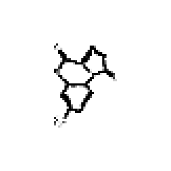 O=C1Nc2cc(C(F)(F)F)ccc2N2C(=O)CC=C12